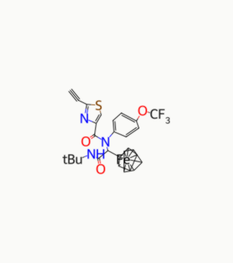 C#Cc1nc(C(=O)N(c2ccc(OC(F)(F)F)cc2)C(C(=O)NC(C)(C)C)[C]23[CH]4[CH]5[CH]6[CH]2[Fe]56432789[CH]3[CH]2[CH]7[CH]8[CH]39)cs1